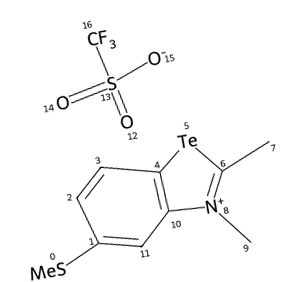 CSc1ccc2[te]c(C)[n+](C)c2c1.O=S(=O)([O-])C(F)(F)F